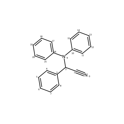 N#CC(c1ccccc1)N(c1ccccc1)c1ccccc1